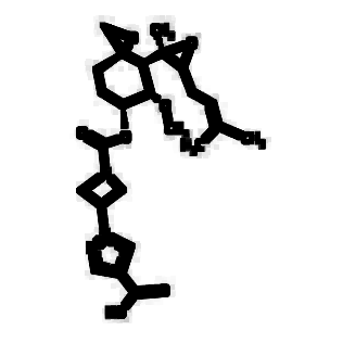 CO[C@@H]1[C@H](OC(=O)N2CC(n3cc(C(=O)O)cn3)C2)CC[C@]2(CO2)[C@H]1[C@@]1(C)OC1CC=C(C)C